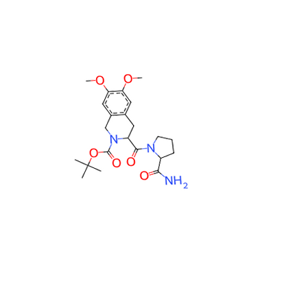 COc1cc2c(cc1OC)CN(C(=O)OC(C)(C)C)C(C(=O)N1CCCC1C(N)=O)C2